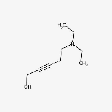 CCN(CC)CCC#CCO